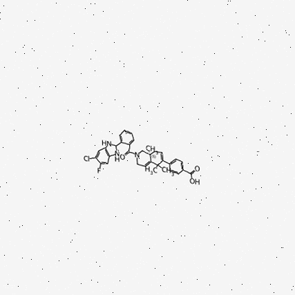 CC1(C)C(c2ccc(C(=O)O)cc2)=CC[C@]2(C)CN(C(=O)c3ccccc3C3Nc4cc(F)c(Cl)cc4N3)CC=C12